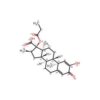 CCC(=O)O[C@]1(C(=O)O)[C@H](C)C[C@H]2[C@@H]3CCC4=CC(=O)C(O)=C[C@]4(C)[C@H]3CC[C@@]21C